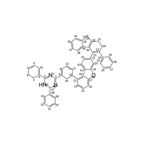 C1=CCCC(C2=NC(C3=CC=CC(c4cccc5oc6cc(C7=C(c8ccccc8)CCc8sc9ccccc9c87)ccc6c45)C3)=NC(c3ccccc3)N2)=C1